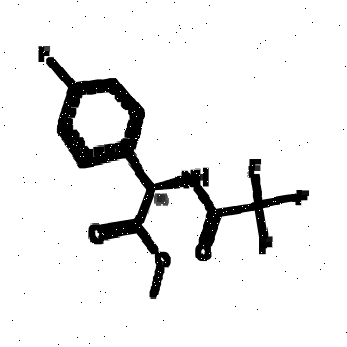 COC(=O)[C@H](NC(=O)C(F)(F)F)c1ccc(F)cc1